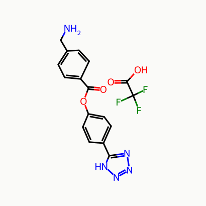 NCc1ccc(C(=O)Oc2ccc(-c3nnn[nH]3)cc2)cc1.O=C(O)C(F)(F)F